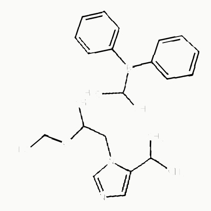 CC(C)B(c1ccccc1)c1ccccc1.CCOC(C)Cn1cncc1C(C)C